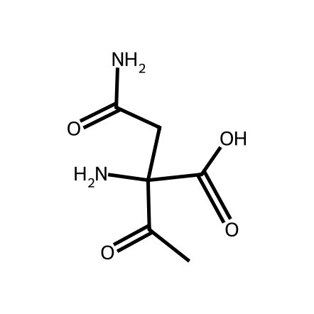 CC(=O)C(N)(CC(N)=O)C(=O)O